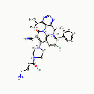 CC(C)c1ncnc(C(C)C)c1-n1c(=O)c(C#N)c(N2CCN(C(=O)C=CCN)CC2)c2cc(Cl)c(-c3ccccc3F)nc21